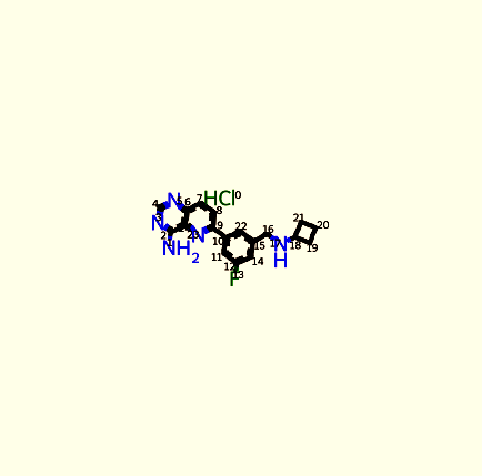 Cl.Nc1ncnc2ccc(-c3cc(F)cc(CNC4CCC4)c3)nc12